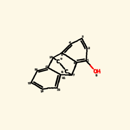 Oc1cccc2c1C1CCC2c2ccccc21